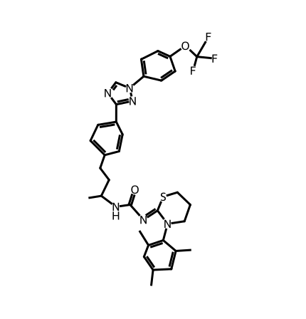 Cc1cc(C)c(N2CCCS/C2=N\C(=O)NC(C)CCc2ccc(-c3ncn(-c4ccc(OC(F)(F)F)cc4)n3)cc2)c(C)c1